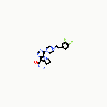 NC(=O)c1c2n(c3c(N4CCN(CCc5ccc(F)c(F)c5)CC4)ncnc13)CCC2